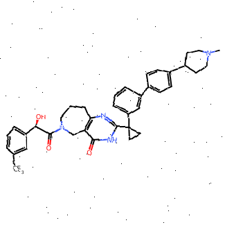 CN1CCC(c2ccc(-c3cccc(C4(c5nc6c(c(=O)[nH]5)CN(C(=O)[C@H](O)c5cccc(C(F)(F)F)c5)CCC6)CC4)c3)cc2)CC1